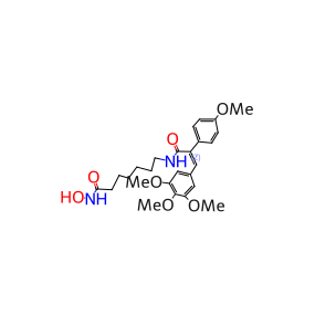 COc1ccc(/C(=C/c2cc(OC)c(OC)c(OC)c2)C(=O)NCCCCCCC(=O)NO)cc1